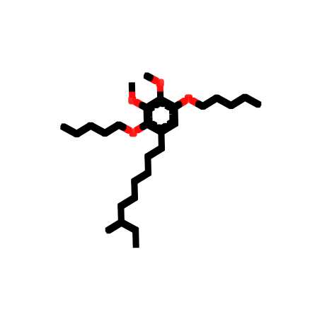 CCCCCOc1cc(CCCCCCC(C)CC)c(OCCCCC)c(OC)c1OC